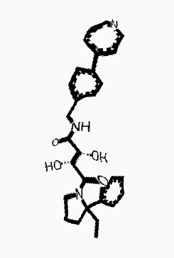 CCC1(c2ccccc2)CCCN1C(=O)[C@H](O)[C@@H](O)C(=O)NCc1ccc(-c2ccncc2)cc1